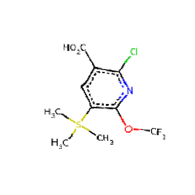 CS(C)(C)c1cc(C(=O)O)c(Cl)nc1OC(F)(F)F